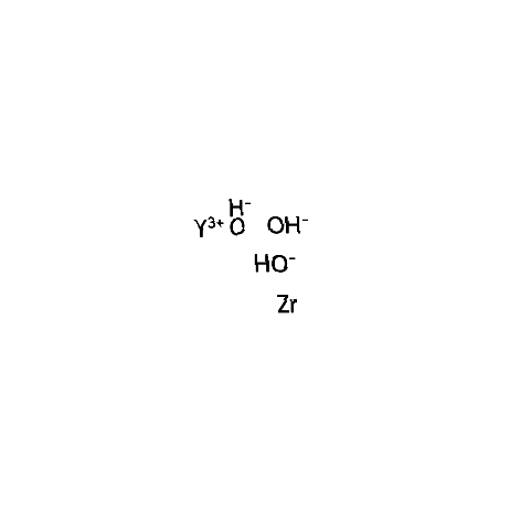 [OH-].[OH-].[OH-].[Y+3].[Zr]